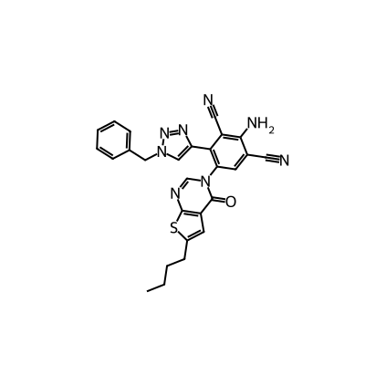 CCCCc1cc2c(=O)n(-c3cc(C#N)c(N)c(C#N)c3-c3cn(Cc4ccccc4)nn3)cnc2s1